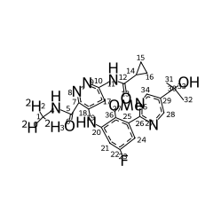 [2H]C([2H])([2H])NC(=O)c1nnc(NC(=O)C2CC2)cc1Nc1cc(F)cc(-c2ncc(C(C)(C)O)cn2)c1OC